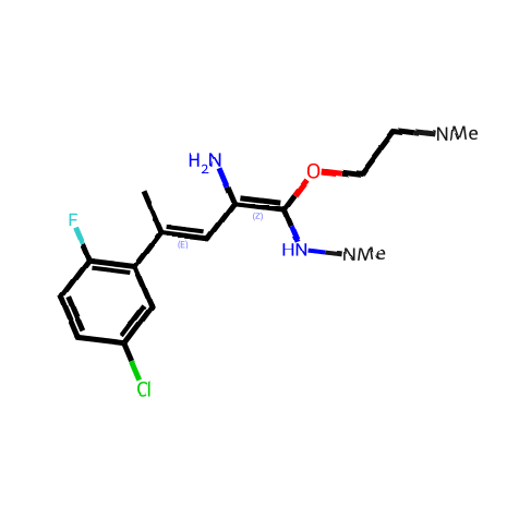 CNCCO/C(NNC)=C(N)/C=C(\C)c1cc(Cl)ccc1F